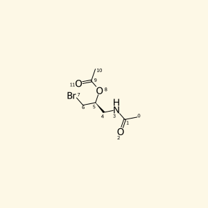 CC(=O)NC[C@@H](CBr)OC(C)=O